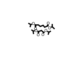 CC(C)OC(=O)CC(=O)OC(C)C.CC(C)OC(=O)CCCCC(=O)OC(C)C